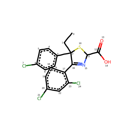 CCC1(c2ccc(Cl)cc2)SC(C(=O)O)N=C1c1ccc(Cl)cc1Cl